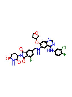 O=C1CCC(N2C(=O)c3cc(CNc4cc5c(Nc6ccc(F)c(Cl)c6)ncnc5cc4OC4CCOC4)cc(F)c3C2=O)C(=O)N1